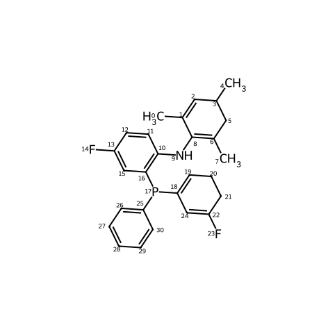 CC1=CC(C)CC(C)=C1Nc1ccc(F)cc1P(C1=CCCC(F)=C1)c1ccccc1